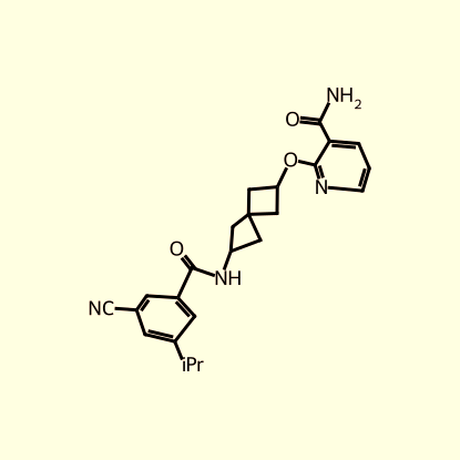 CC(C)c1cc(C#N)cc(C(=O)NC2CC3(C2)CC(Oc2ncccc2C(N)=O)C3)c1